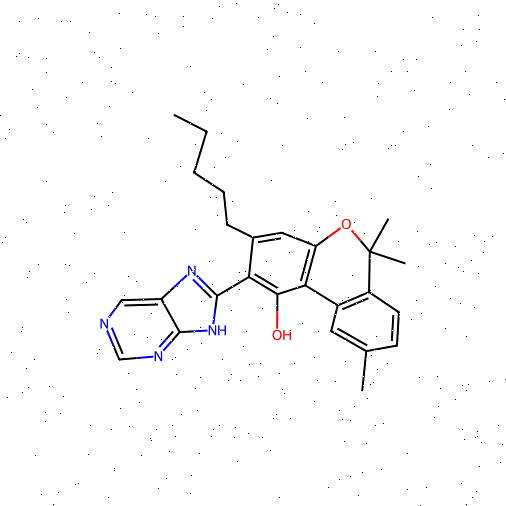 CCCCCc1cc2c(c(O)c1-c1nc3cncnc3[nH]1)-c1cc(C)ccc1C(C)(C)O2